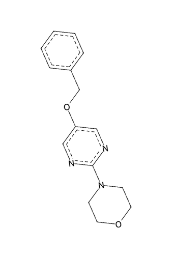 c1ccc(COc2cnc(N3CCOCC3)nc2)cc1